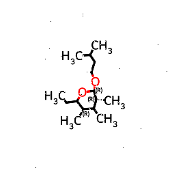 CCC1O[C@@H](OCCC(C)C)[C@H](C)C(C)[C@H]1C